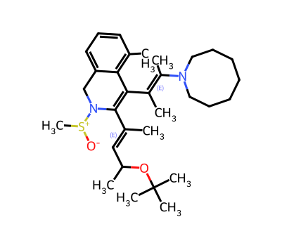 C/C(=C\C(C)OC(C)(C)C)C1=C(/C(C)=C(\C)N2CCCCCCC2)c2c(C)cccc2CN1[S+](C)[O-]